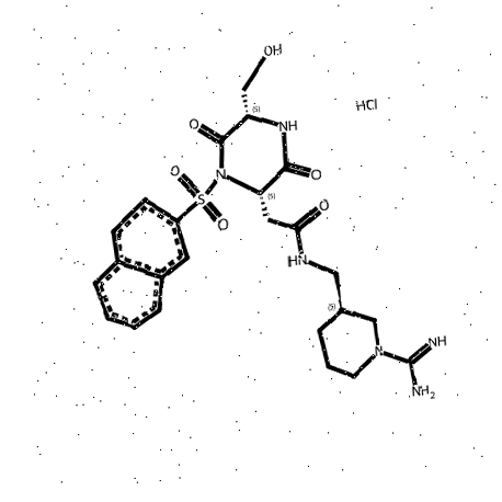 Cl.N=C(N)N1CCC[C@@H](CNC(=O)C[C@H]2C(=O)N[C@@H](CO)C(=O)N2S(=O)(=O)c2ccc3ccccc3c2)C1